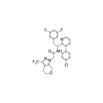 O=C(Cn1nc(C(F)(F)F)c2c1COCC2)NC(Cc1cc(F)cc(F)c1)c1ncccc1-c1ccc(Cl)cc1